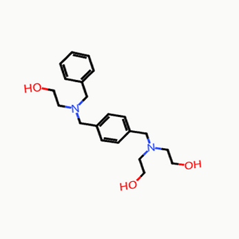 OCCN(CCO)Cc1ccc(CN(CCO)Cc2ccccc2)cc1